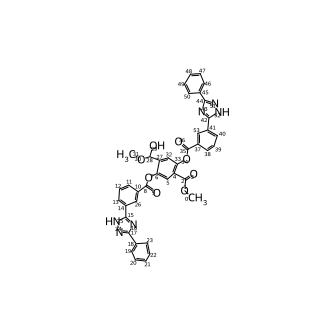 COC(=O)c1cc(OC(=O)c2cccc(-c3nc(-c4ccccc4)n[nH]3)c2)c(C(O)OC)cc1OC(=O)c1cccc(-c2nc(-c3ccccc3)n[nH]2)c1